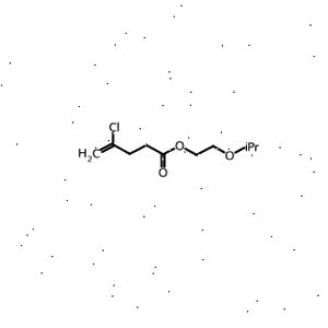 C=C(Cl)CCC(=O)OCCOC(C)C